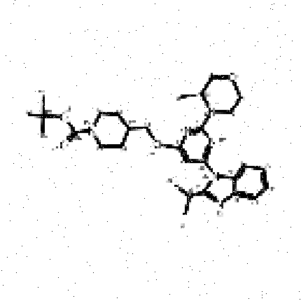 C[C@H]1COCCN1c1nc(OCC2CCN(C(=O)OC(C)(C)C)CC2)cc(-n2c(C(F)F)nc3ccccc32)n1